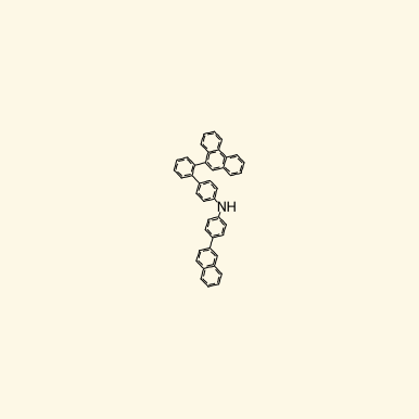 c1ccc(-c2cc3ccccc3c3ccccc23)c(-c2ccc(Nc3ccc(-c4ccc5ccccc5c4)cc3)cc2)c1